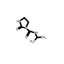 CC(C)NC(=O)N1CCNC1=O